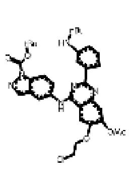 CCCCNc1cccc(-c2nc(Nc3ccc4c(cnn4C(=O)OC(C)(C)C)c3)c3cc(OCCCl)c(OC)cc3n2)c1